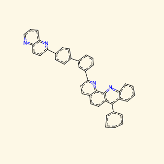 c1ccc(-c2c3ccccc3nc3c2ccc2ccc(-c4cccc(-c5ccc(-c6ccc7ncccc7n6)cc5)c4)nc23)cc1